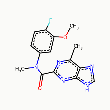 COc1cc(N(C)C(=O)c2nc(C)c3nc[nH]c3n2)ccc1F